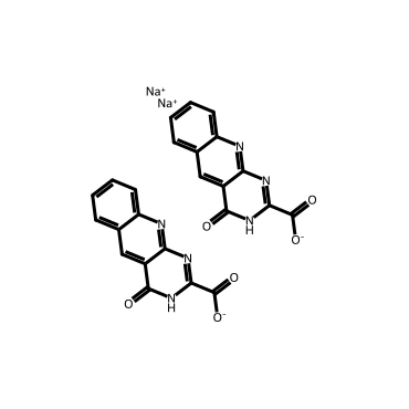 O=C([O-])c1nc2nc3ccccc3cc2c(=O)[nH]1.O=C([O-])c1nc2nc3ccccc3cc2c(=O)[nH]1.[Na+].[Na+]